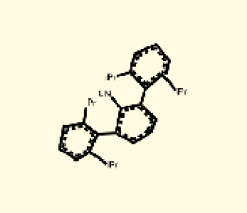 [C-]#[N+]c1c(-c2c(C(C)C)cccc2C(C)C)cccc1-c1c(C(C)C)cccc1C(C)C